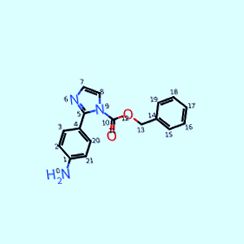 Nc1ccc(-c2nccn2C(=O)OCc2ccccc2)cc1